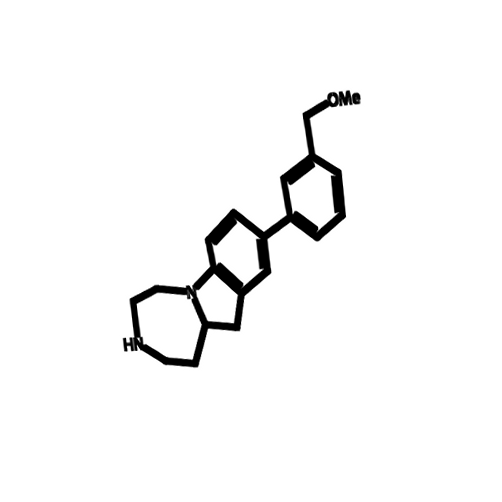 COCc1cccc(-c2ccc3c(c2)CC2CCNCCN32)c1